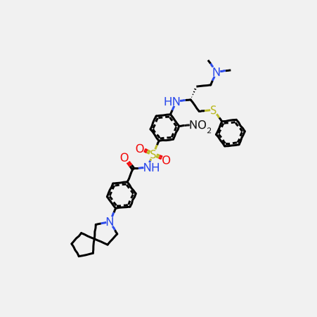 CN(C)CC[C@H](CSc1ccccc1)Nc1ccc(S(=O)(=O)NC(=O)c2ccc(N3CCC4(CCCC4)C3)cc2)cc1[N+](=O)[O-]